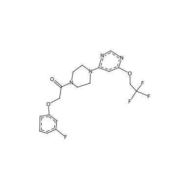 O=C(COc1cccc(F)c1)N1CCN(c2cc(OCC(F)(F)F)ncn2)CC1